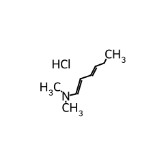 CCC=CC=CN(C)C.Cl